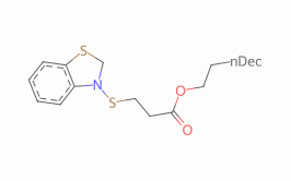 CCCCCCCCCCCCOC(=O)CCSN1CSc2ccccc21